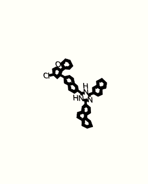 Clc1cc(-c2ccc3cc(C4NC(c5ccc6c(ccc7ccccc76)c5)=NC(c5ccc6ccccc6c5)N4)ccc3c2)c2c(c1)oc1ccccc12